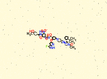 CC(=O)N1CCN(N2CC3(CCN(c4ccc(C(=O)NS(=O)(=O)c5cc6c(c([N+](=O)[O-])c5)N[C@@H]([C@H]5CC[C@](C)(O)CC5)CO6)c(Oc5cnc6[nH]cc(F)c6c5)c4)CC3)C2)[C@H](c2ccccc2C(C)C)C1